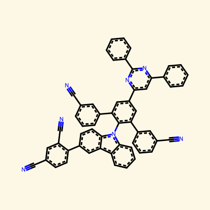 N#Cc1cccc(-c2cc(-c3cc(-c4ccccc4)nc(-c4ccccc4)n3)cc(-c3cccc(C#N)c3)c2-n2c3ccccc3c3cc(-c4ccc(C#N)cc4C#N)ccc32)c1